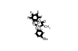 CC(C)COC(=O)[C@H](C)NP(=O)(Oc1ccc(C(C)(C)C)cc1)Oc1c(F)c(F)c(F)c(F)c1F